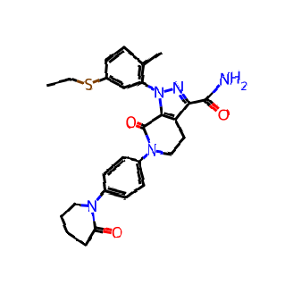 CCSc1ccc(C)c(-n2nc(C(N)=O)c3c2C(=O)N(c2ccc(N4CCCCC4=O)cc2)CC3)c1